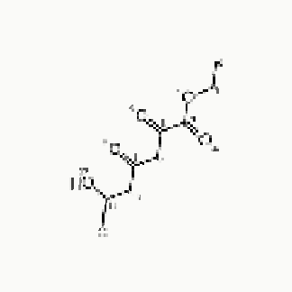 CCOC(=O)C(=O)CC(=O)CC(C)O